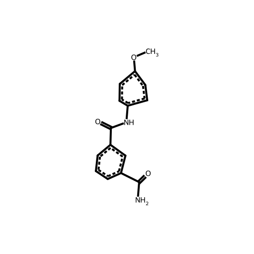 COc1ccc(NC(=O)c2cccc(C(N)=O)c2)cc1